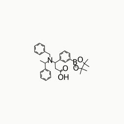 CC(c1ccccc1)N(Cc1ccccc1)C(CC(=O)O)c1cccc(B2OC(C)(C)C(C)(C)O2)c1